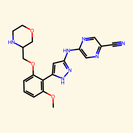 COc1cccc(OCC2COCCN2)c1-c1cc(Nc2cnc(C#N)cn2)n[nH]1